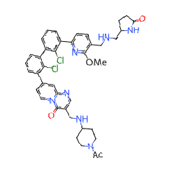 COc1nc(-c2cccc(-c3cccc(-c4ccn5c(=O)c(CNC6CCN(C(C)=O)CC6)cnc5c4)c3Cl)c2Cl)ccc1CNCC1CCC(=O)N1